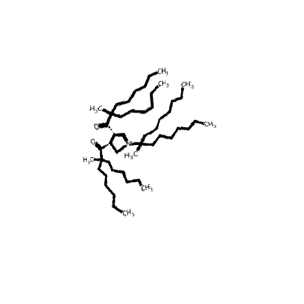 CCCCCCCC(C)(CCCCCCC)N1C[C@@H](C(=O)C(C)(CCCCCC)CCCCCC)[C@H](C(=O)C(C)(CCCCCC)CCCCCC)C1